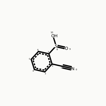 N#Cc1ccccc1S(=O)O